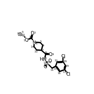 CC(C)(C)OC(=O)N1CCC(C(=O)NS(=O)(=O)Cc2cc(Cl)cc(Cl)c2)CC1